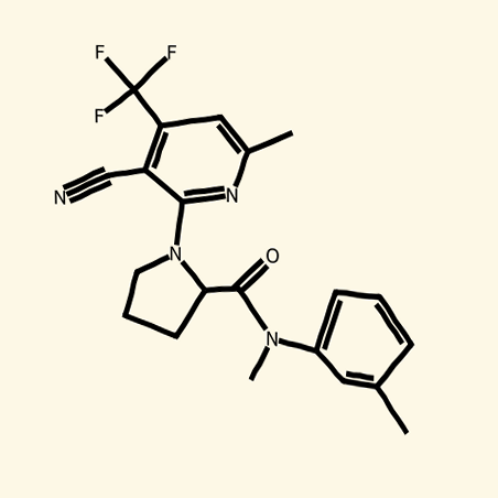 Cc1cccc(N(C)C(=O)C2CCCN2c2nc(C)cc(C(F)(F)F)c2C#N)c1